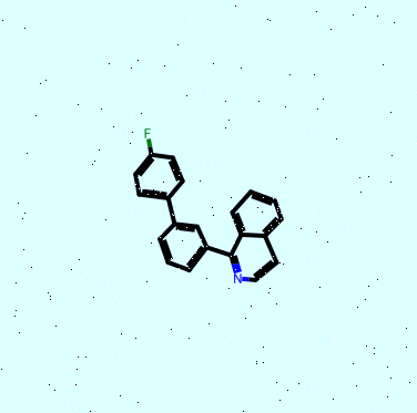 Fc1ccc(-c2cccc(-c3nccc4ccccc34)c2)cc1